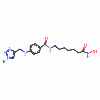 CCn1cc(CNc2ccc(C(=O)NCCCCCCC(=O)NO)cc2)nn1